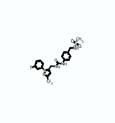 CS(=O)(=O)NCc1ccc(NC(=O)NCc2cc(C(F)(F)F)nn2-c2cccc(F)c2)cc1